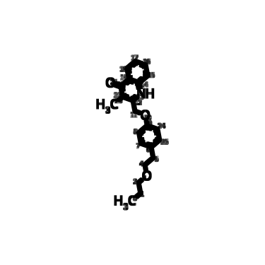 CCCOCCc1ccc(OCc2[nH]c3ccccc3c(=O)c2C)cc1